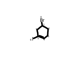 BrC1CCC=C(I)C1